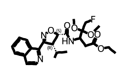 CCOC(=O)CC(NC(=O)[C@H]1ON=C(c2nccc3ccccc23)[C@H]1C(C)C)C(CF)(OC)OC